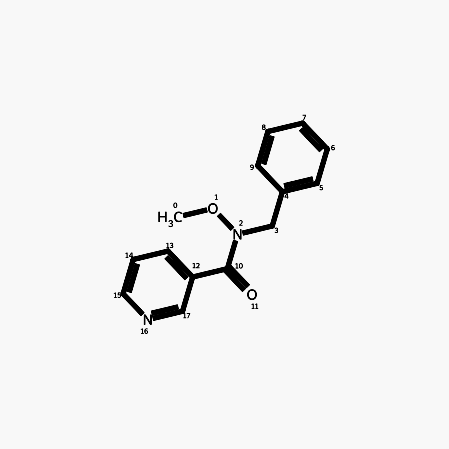 CON(Cc1ccccc1)C(=O)c1cccnc1